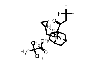 CC(C)(C)C(=O)O[C@H]1C2CC3CC([C@H]1N(C(=O)CC(F)(F)F)C3)N2CC1CC1